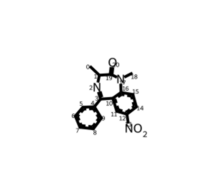 CC1N=C(c2ccccc2)c2cc([N+](=O)[O-])ccc2N(C)C1=O